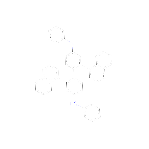 c1ccc(Nc2ccc(-c3ccc(Nc4ccccc4)cc3-c3cccc4ccccc34)c(-c3cccc4ccccc34)c2)cc1